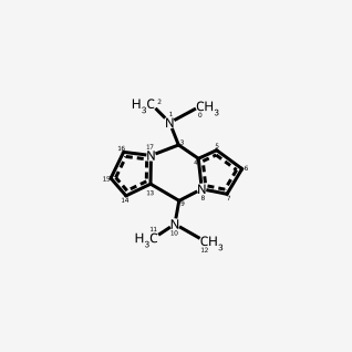 CN(C)C1c2cccn2C(N(C)C)c2cccn21